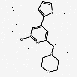 Clc1cc(-c2cccs2)cc(CN2CCOCC2)n1